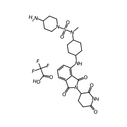 CN(C1CCC(Nc2cccc3c2C(=O)N(C2CCC(=O)NC2=O)C3=O)CC1)S(=O)(=O)N1CCC(N)CC1.O=C(O)C(F)(F)F